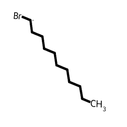 CCCCCCCCCC[CH]Br